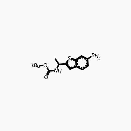 Bc1ccc2cc(C(C)NC(=O)OC(C)(C)C)sc2c1